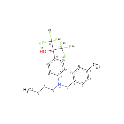 CCCCN(Cc1ccc(C)cc1)c1ccc(C(O)(C(F)(F)F)C(F)(F)F)cc1